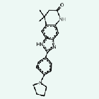 CC1(C)CC(=O)Nc2cc3nc(-c4ccc(N5CCCC5)cc4)[nH]c3cc21